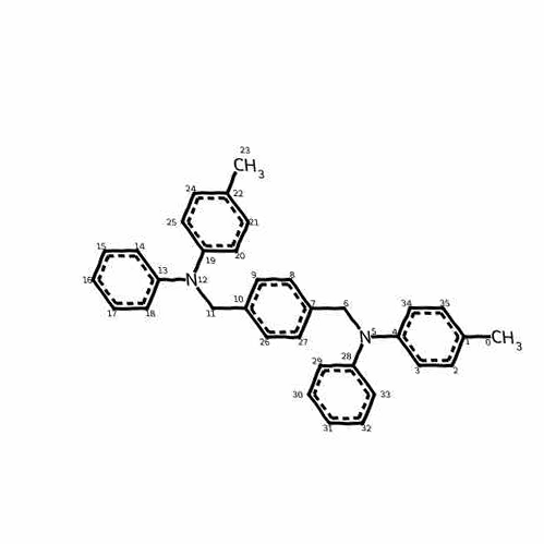 Cc1ccc(N(Cc2ccc(CN(c3ccccc3)c3ccc(C)cc3)cc2)c2ccccc2)cc1